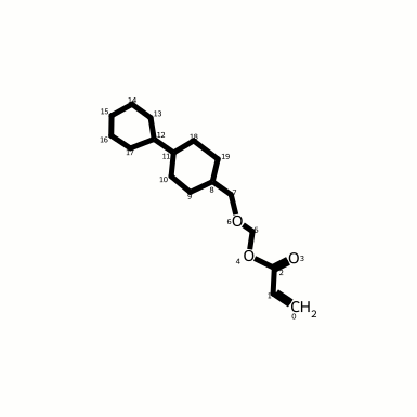 C=CC(=O)OCOCC1CCC(C2CCCCC2)CC1